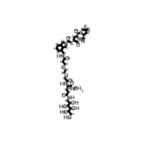 BNC(=O)[C@@H](CCC(=O)NC[C@H](O)[C@@H](O)[C@H](O)[C@H](O)CO)NC(=O)COCCOCCC(=O)NCc1cccc2c1CN(C(=O)C[C@@H]1C[C@@H](C(=O)N3CC(F)(F)C[C@H]3C#N)NC1=O)C2